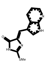 CSC1=N/C(=C\c2c[nH]c3ncccc23)C(=O)N1